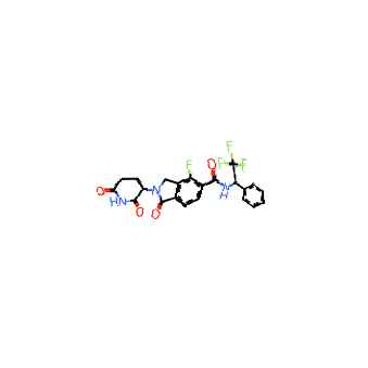 O=C1CCC(N2Cc3c(ccc(C(=O)NC(c4ccccc4)C(F)(F)F)c3F)C2=O)C(=O)N1